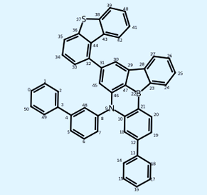 c1ccc(-c2cccc(N3c4cc(-c5ccccc5)ccc4B4c5ccccc5-c5cc(-c6cccc7sc8ccccc8c67)cc3c54)c2)cc1